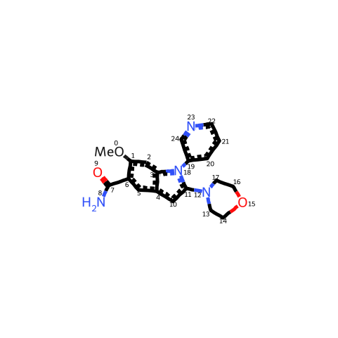 COc1cc2c(cc1C(N)=O)cc(N1CCOCC1)n2-c1cccnc1